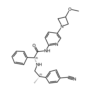 COC1CN(c2ccc(NC(=O)[C@H](NC[C@@H](C)c3ccc(C#N)cc3)c3ccccc3)nc2)C1